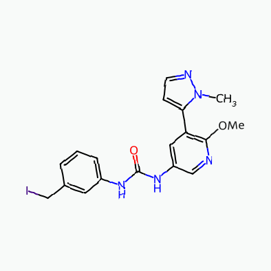 COc1ncc(NC(=O)Nc2cccc(CI)c2)cc1-c1ccnn1C